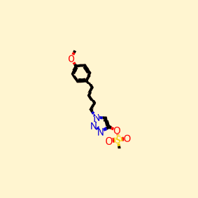 COc1ccc(CCCCn2cc(OS(C)(=O)=O)nn2)cc1